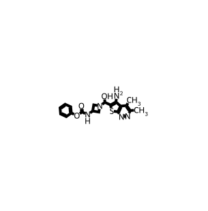 Cc1nnc2sc(C(O)N3CC(NC(=O)Oc4ccccc4)C3)c(N)c2c1C